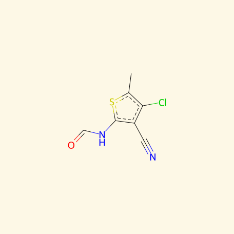 Cc1sc(NC=O)c(C#N)c1Cl